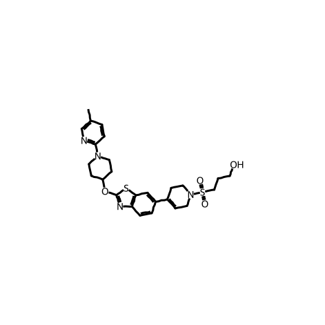 Cc1ccc(N2CCC(Oc3nc4ccc(C5=CCN(S(=O)(=O)CCCO)CC5)cc4s3)CC2)nc1